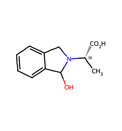 C[C@@H](C(=O)O)N1Cc2ccccc2C1O